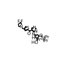 CC(C)[Si](O[C@H]1C[C@H](Nc2ncncc2C(=O)c2cc(CN3CCC(F)(F)C3)cs2)C[C@@H]1CO)(C(C)C)C(C)C